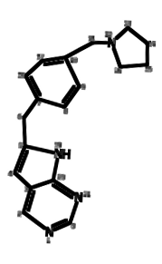 c1ncc2cc(Cc3ccc(CN4CCCC4)cc3)[nH]c2n1